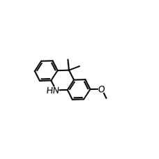 COc1ccc2c(c1)C(C)(C)c1ccccc1N2